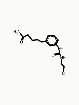 NC(=O)CCCCc1cccc(NC(=O)NCCCl)c1